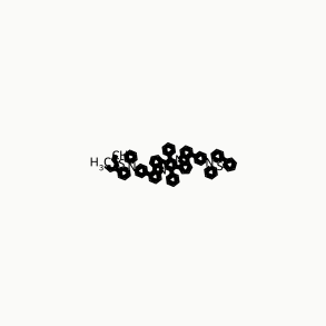 C=Cc1sc2c(N(c3ccccc3)c3ccc(-c4cccc5c4c4cccc6c7c(-c8ccccc8)c8c(c(-c9ccccc9)c7n5c46)c4cccc5c6c(-c7ccc(N(c9ccccc9)c9cccc%10c9sc9ccccc9%10)cc7)cccc6n8c54)cc3)cccc2c1/C=C\C